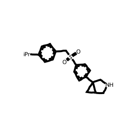 CC(C)c1ccc(CS(=O)(=O)c2ccc(C34CNCC3C4)cc2)cc1